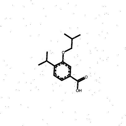 CC(C)COc1cc(C(=O)O)ccc1C(C)C